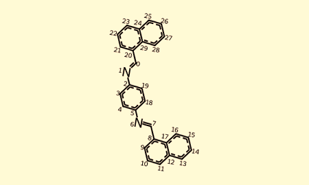 C(=Nc1ccc(N=Cc2cccc3ccccc23)cc1)c1cccc2ccccc12